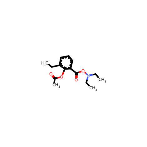 CCc1cccc(C(=O)ON(CC)CC)c1OC(C)=O